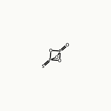 O=P12OP(=S)(O1)O2